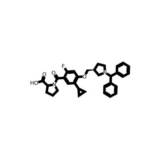 O=C(O)C1CCCN1C(=O)c1cc(C2CC2)c(OC[C@H]2CCN(C(c3ccccc3)c3ccccc3)C2)cc1F